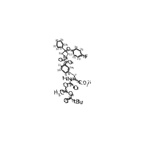 C[C@@H](OC(=O)N[C@@H](Cc1cccc(S(=O)(=O)N2CC(Oc3ccc(F)cc3)(c3ccccc3)C2)c1)C(=O)O)OC(=O)C(C)(C)C